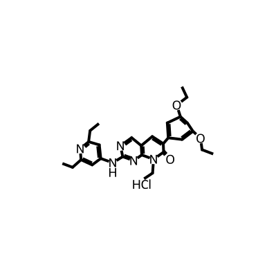 CCOc1cc(OCC)cc(-c2cc3cnc(Nc4cc(CC)nc(CC)c4)nc3n(CC)c2=O)c1.Cl